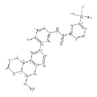 Cc1ncc(NC(=O)c2cccc(C(F)(F)F)c2)cc1-c1cnc2c(c1)N1CCOCC1C(CO)C2